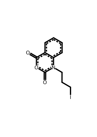 O=c1oc(=O)n(CCCI)c2ccccc12